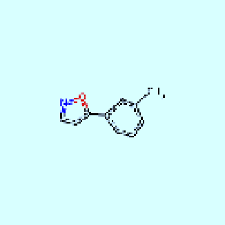 Cc1cccc(-c2ccno2)c1